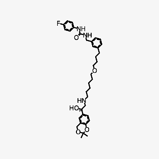 CC1(C)OCc2cc([C@@H](O)CNCCCCCCOCCCCc3cccc(CNC(=O)Nc4ccc(F)cc4)c3)ccc2O1